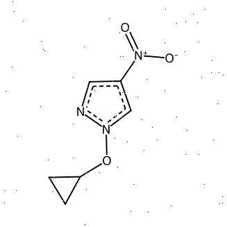 O=[N+]([O-])c1cnn(OC2CC2)c1